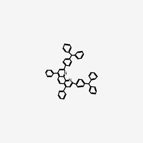 c1ccc(-c2cc(-c3ccc(C(c4ccccc4)c4ccccc4)cc3)nc3c2ccc2c(-c4ccccc4)cc(-c4ccc(C(c5ccccc5)c5ccccc5)cc4)nc23)cc1